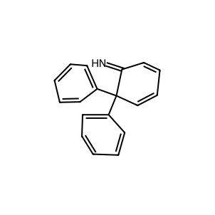 N=C1C=CC=CC1(c1ccccc1)c1ccccc1